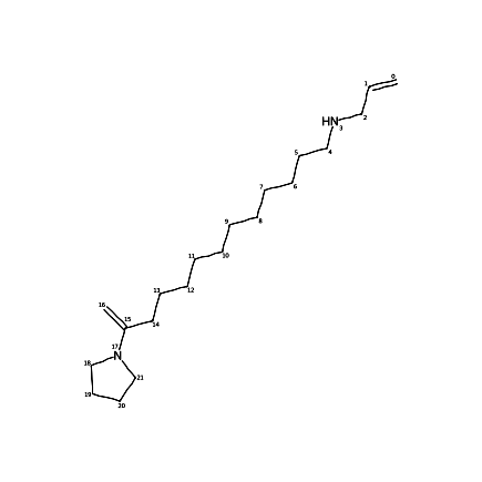 C=CCNCCCCCCCCCCCC(=C)N1CCCC1